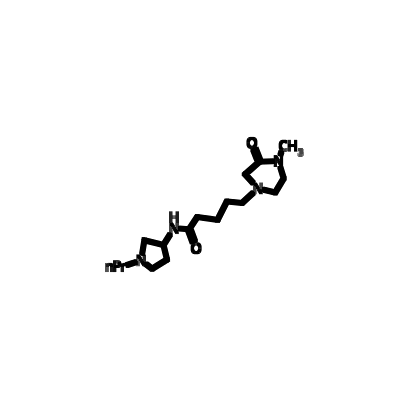 CCCN1CCC(NC(=O)CCCCN2CCN(C)C(=O)C2)C1